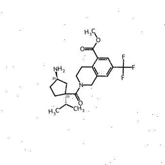 COC(=O)c1cc(C(F)(F)F)cc2c1CCN(C(=O)[C@@]1(C(C)C)CC[C@@H](N)C1)C2